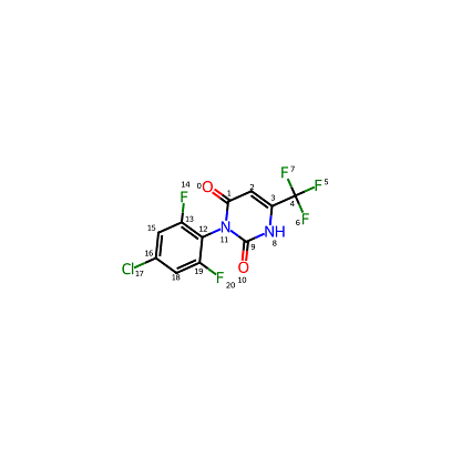 O=c1cc(C(F)(F)F)[nH]c(=O)n1-c1c(F)cc(Cl)cc1F